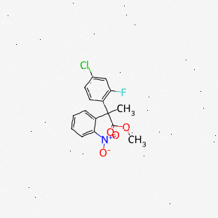 COC(=O)C(C)(c1ccc(Cl)cc1F)c1ccccc1[N+](=O)[O-]